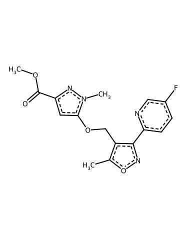 COC(=O)c1cc(OCc2c(-c3ccc(F)cn3)noc2C)n(C)n1